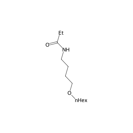 CCCCCCOCCCCNC(=O)CC